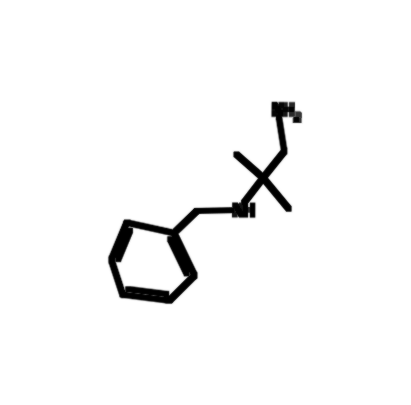 CC(C)(CN)NCc1ccccc1